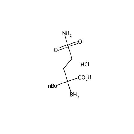 BC(CCCC)(CCS(N)(=O)=O)C(=O)O.Cl